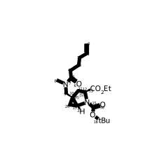 C=CCCCC(=O)N(C)C[C@@]12C[C@@H](C(=O)OCC)N(C(=O)OC(C)(C)C)[C@@H]1C2